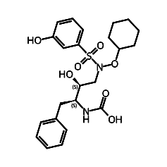 O=C(O)N[C@@H](Cc1ccccc1)[C@@H](O)CN(OC1CCCCC1)S(=O)(=O)c1cccc(O)c1